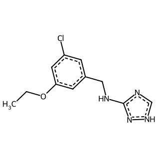 CCOc1cc(Cl)cc(CNc2nc[nH]n2)c1